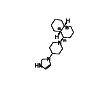 C1=CN(C2CCN([C@@H]3CCC[C@H]4CCCC[C@H]43)CC2)CN1